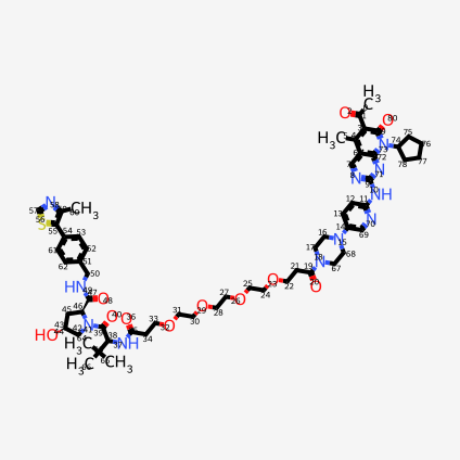 CC(=O)c1c(C)c2cnc(Nc3ccc(N4CCN(C(=O)CCOCCOCCOCCOCCC(=O)NC(C(=O)N5C[C@H](O)C[C@H]5C(=O)NCc5ccc(-c6scnc6C)cc5)C(C)(C)C)CC4)cn3)nc2n(C2CCCC2)c1=O